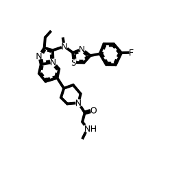 CCc1nc2ccc(C3CCN(C(=O)CNC)CC3)cn2c1N(C)c1nc(-c2ccc(F)cc2)cs1